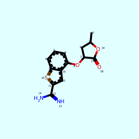 CC1CC(Oc2cccc3sc(C(=N)N)cc23)C(=O)O1